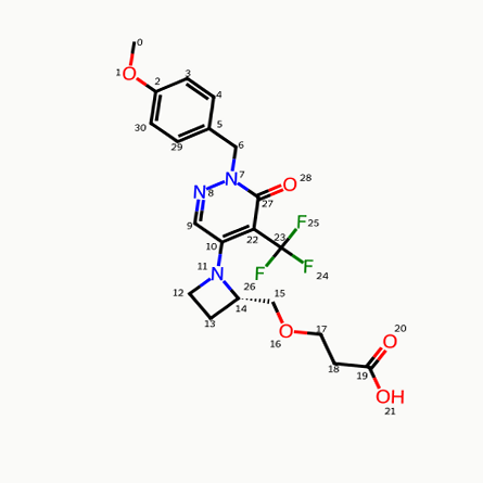 COc1ccc(Cn2ncc(N3CC[C@H]3COCCC(=O)O)c(C(F)(F)F)c2=O)cc1